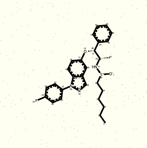 CCCCCC[S+]([O-])N[C@@H](C)[C@H](Oc1ccc2c(cnn2-c2ccc(F)cc2)c1)c1ccccc1